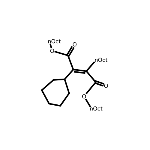 CCCCCCCCOC(=O)C(CCCCCCCC)=C(C(=O)OCCCCCCCC)C1CCCCC1